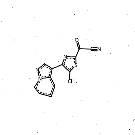 N#CC(=O)c1nc(-c2cnn3ccccc23)c(Cl)s1